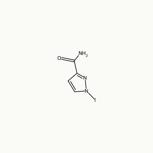 NC(=O)c1ccn(I)n1